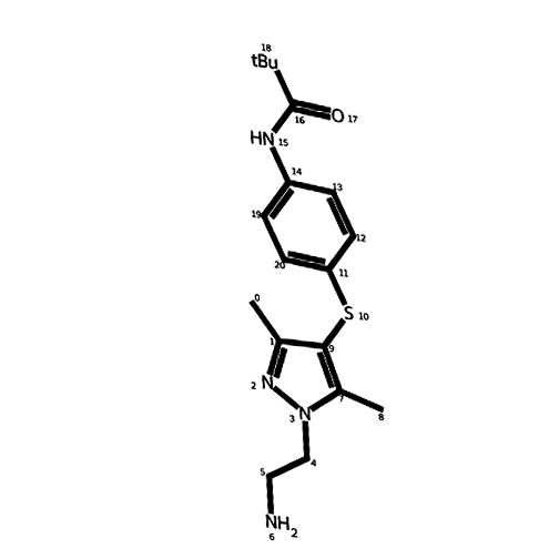 Cc1nn(CCN)c(C)c1Sc1ccc(NC(=O)C(C)(C)C)cc1